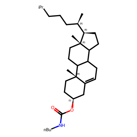 CCCCNC(=O)O[C@H]1CC[C@@]2(C)C(=CCC3C2CC[C@@]2(C)C3CC[C@@H]2[C@H](C)CCCC(C)C)C1